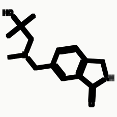 CN(Cc1ccc2c(c1)C(=O)NC2)CC(C)(C)O